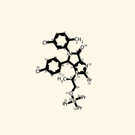 Cc1ccc(Cl)cc1N1C(=O)c2nc(Br)n([C@H](C)CO[Si](C(C)C)(C(C)C)C(C)C)c2C1c1ccc(Cl)cc1